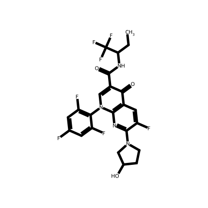 CCC(NC(=O)c1cn(-c2c(F)cc(F)cc2F)c2nc(N3CCC(O)C3)c(F)cc2c1=O)C(F)(F)F